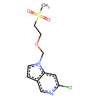 CS(=O)(=O)CCOCn1ccc2cnc(Cl)cc21